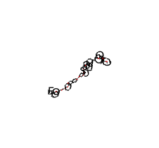 C=C(F)C(=O)OCCCCCCOc1ccc2cc(-c3ccc(C(=O)Sc4ccc(OC(=O)OCCCCOC(=O)C(=C)COC)cc4)cc3)ccc2c1